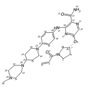 C=CC(=O)N1CC[C@@H](Oc2cnc(C(N)=O)c(Nc3ccc(N4CCC(N5CCN(C)CC5)CC4)cc3)n2)C1